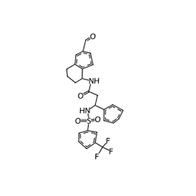 O=Cc1ccc2c(c1)CCCC2NC(=O)CC(NS(=O)(=O)c1cccc(C(F)(F)F)c1)c1ccccc1